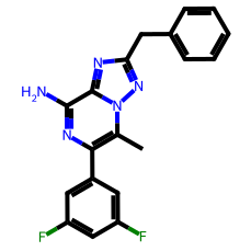 Cc1c(-c2cc(F)cc(F)c2)nc(N)c2nc(Cc3ccccc3)nn12